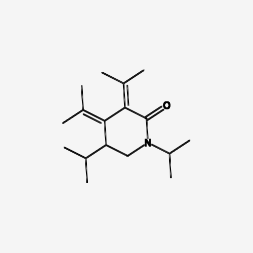 CC(C)=C1C(=O)N(C(C)C)CC(C(C)C)C1=C(C)C